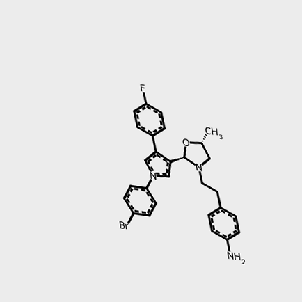 C[C@@H]1CN(CCc2ccc(N)cc2)[C@@H](c2cn(-c3ccc(Br)cc3)cc2-c2ccc(F)cc2)O1